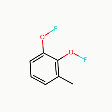 Cc1cccc(OF)c1OF